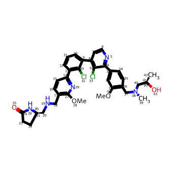 COc1cc(-c2nccc(-c3cccc(-c4ccc(CNC[C@H]5CCC(=O)N5)c(OC)n4)c3Cl)c2Cl)ccc1CN(C)C[C@@H](C)O